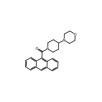 O=C(c1c2ccccc2cc2ccccc12)N1CCC(N2CCOCC2)CC1